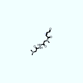 CN(C)CC(=O)NNC(=O)CN(C)C(=O)/C=C\C=O